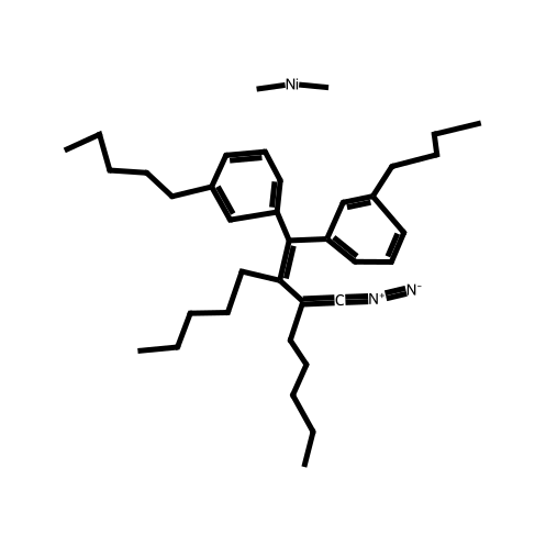 CCCCCC(=C=[N+]=[N-])C(CCCCC)=C(c1cccc(CCCC)c1)c1cccc(CCCCC)c1.[CH3][Ni][CH3]